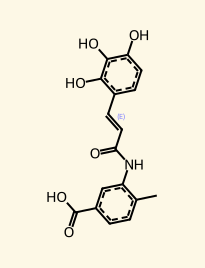 Cc1ccc(C(=O)O)cc1NC(=O)/C=C/c1ccc(O)c(O)c1O